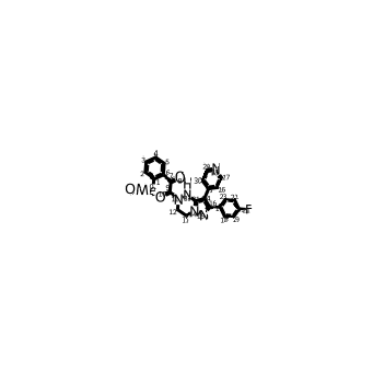 COc1ccccc1C(=O)C(=O)N1CCn2nc(-c3ccc(F)cc3)c(-c3ccncc3)c2N1